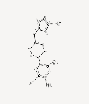 Cc1cc(N)c(F)cc1C1CCN(Cc2noc(C(C)C)n2)CC1